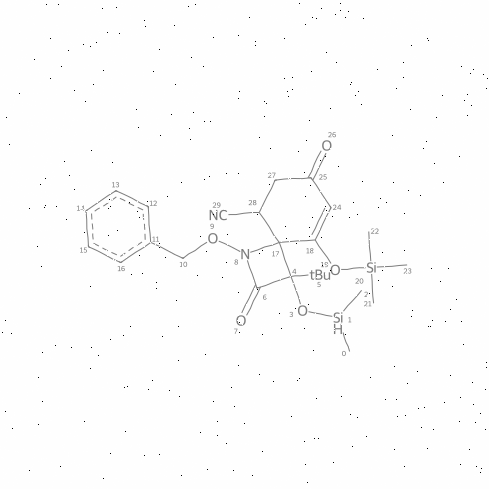 C[SiH](C)OC1(C(C)(C)C)C(=O)N(OCc2ccccc2)C12C(O[Si](C)(C)C)=CC(=O)CC2C#N